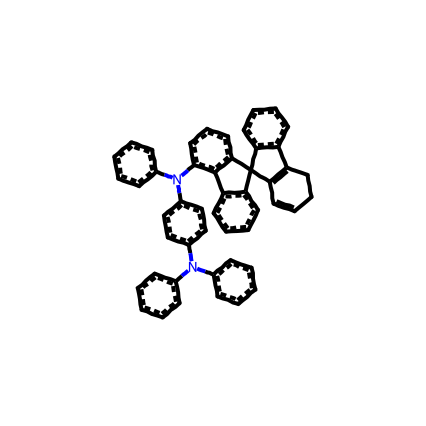 C1=CC2=C(CC1)c1ccccc1C21c2ccccc2-c2c(N(c3ccccc3)c3ccc(N(c4ccccc4)c4ccccc4)cc3)cccc21